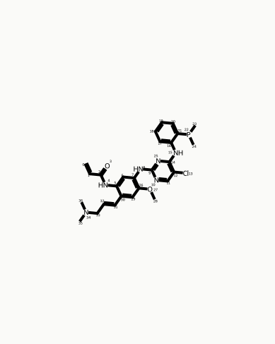 C=CC(=O)Nc1cc(Nc2ncc(Cl)c(Nc3ccccc3P(C)C)n2)c(OC)cc1/C=C/CN(C)C